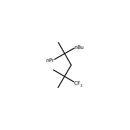 CCCCC(C)(CCC)CC(C)(C)C(F)(F)F